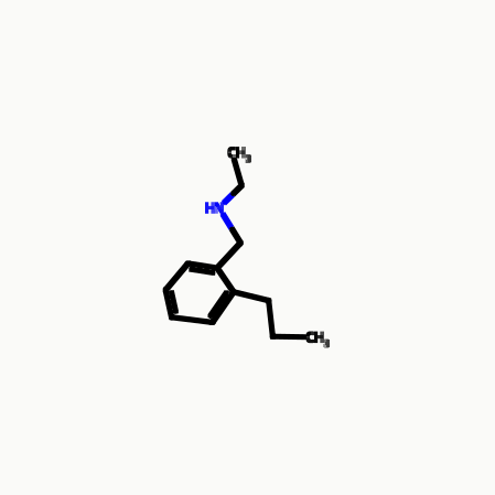 CCCc1ccccc1CNCC